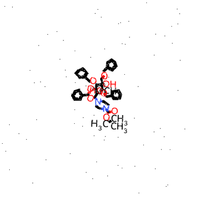 C[C@@H](O)[C@](O)(COCc1ccccc1)[C@@H](OCc1ccccc1)[C@H](OCc1ccccc1)[C@@H](OCc1ccccc1)C(=O)N1CCN(C(=O)OC(C)(C)C)CC1